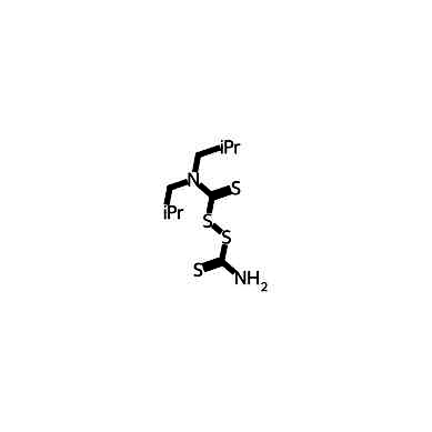 CC(C)CN(CC(C)C)C(=S)SSC(N)=S